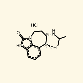 CC(C)N[C@H]1CCn2c(=O)[nH]c3cccc(c32)[C@@H]1O.Cl